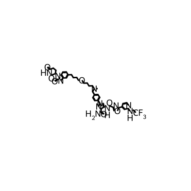 CN(CCCCOCCCCc1ccc2c(c1)n(C)c(=O)n2C1CCC(=O)NC1=O)Cc1ccc(-n2cc(NC(=O)c3coc(-c4ccnc(NCC(F)(F)F)c4)n3)c(C(N)=O)n2)cc1